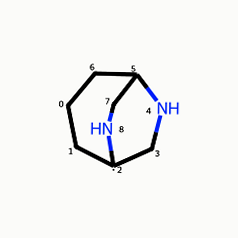 C1C[C]2CNC(C1)CN2